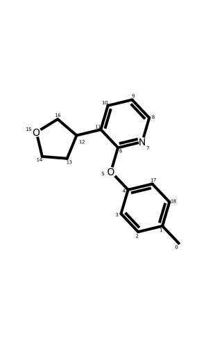 Cc1ccc(Oc2ncccc2C2CCOC2)cc1